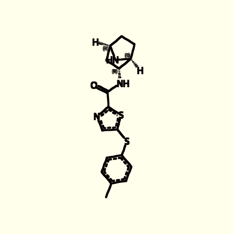 Cc1ccc(Sc2cnc(C(=O)N[C@@H]3C[C@H]4CC[C@@H]3N4)s2)cc1